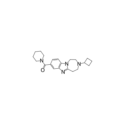 O=C(c1ccc2c(c1)nc1n2CCN(C2CCC2)CC1)N1CCCCC1